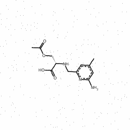 CC(=O)OC[C@H](NCc1cc(C)cc(N)n1)C(=O)O